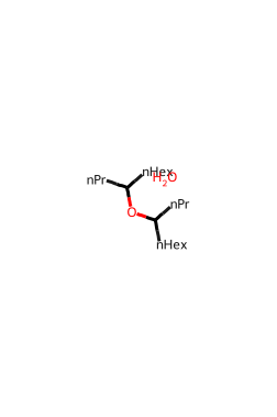 CCCCCCC(CCC)OC(CCC)CCCCCC.O